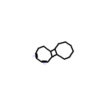 C1=C\CCC2C(\C=C/1)C1CCCCCCC21